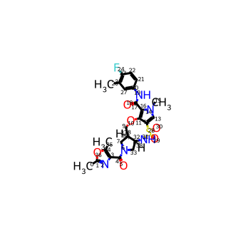 Cc1nc(C(=O)N2C[C@H]3COc4c(cn(C)c4C(=O)Nc4ccc(F)c(C)c4)S(=O)(=O)N[C@H]3C2)c(C)o1